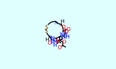 CC(=O)CC[C@H]1NC(=O)C[C@H]2/C=C/CCSSC[C@@H](NC1=O)C(=O)NC(C)(C)C(=O)NCC(=O)O2